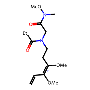 C=C/C(OC)=C(\CCN(CC(=O)N(C)OC)C(=O)CC)OC